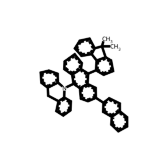 CC1(C)c2ccccc2-c2c(-c3c4ccccc4c(N4c5ccccc5Cc5ccccc54)c4ccc(-c5ccc6ccccc6c5)cc34)cccc21